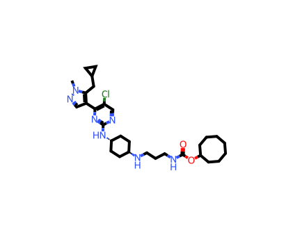 Cn1ncc(-c2nc(N[C@H]3CC[C@H](NCCCNC(=O)OC4CCCCCCC4)CC3)ncc2Cl)c1CC1CC1